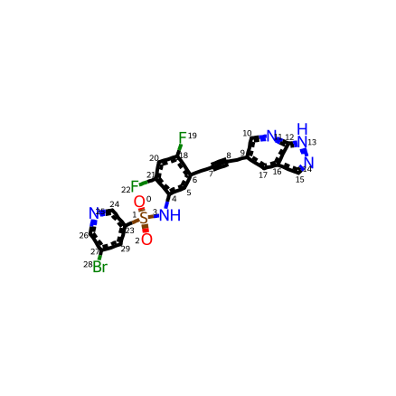 O=S(=O)(Nc1cc(C#Cc2cnc3[nH]ncc3c2)c(F)cc1F)c1cncc(Br)c1